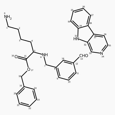 NCCCCC(NCc1cccc(C=O)c1)C(=O)OCc1ccccc1.c1ccc2c(c1)[nH]c1cnccc12